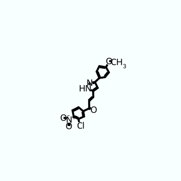 COc1ccc(-c2cc(/C=C/C(=O)c3ccc([N+](=O)[O-])c(Cl)c3)[nH]n2)cc1